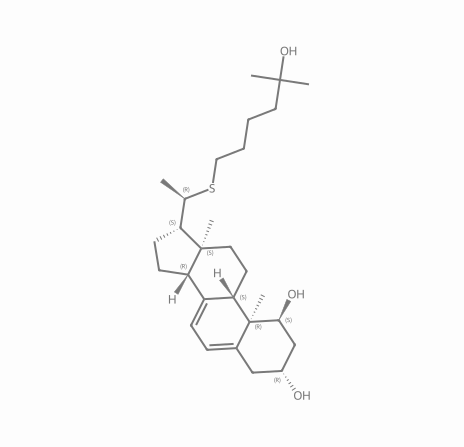 C[C@@H](SCCCCC(C)(C)O)[C@H]1CC[C@H]2C3=CC=C4C[C@@H](O)C[C@H](O)[C@]4(C)[C@H]3CC[C@]12C